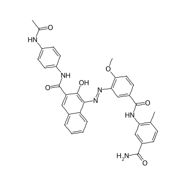 COc1ccc(C(=O)Nc2cc(C(N)=O)ccc2C)cc1N=Nc1c(O)c(C(=O)Nc2ccc(NC(C)=O)cc2)cc2ccccc12